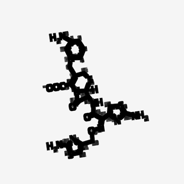 Nc1ccc[n+](CC2=C(C(=O)[O-])N3C(=O)C(NC(=O)/C(=N\OCc4csc(N)n4)c4csc(N)n4)[C@@H]3SC2)c1